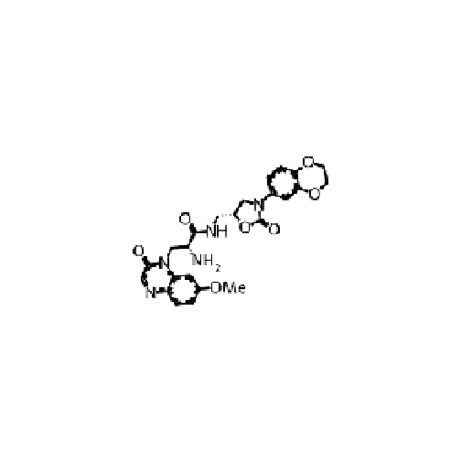 COc1ccc2ncc(=O)n(C[C@@H](N)C(=O)NC[C@@H]3CN(c4ccc5c(c4)OCCO5)C(=O)O3)c2c1